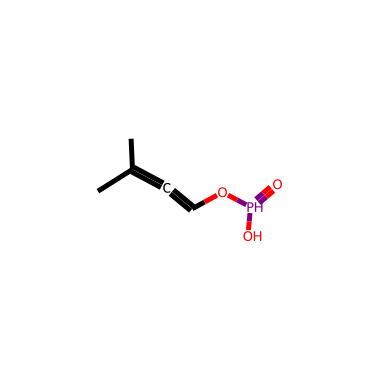 CC(C)=C=CO[PH](=O)O